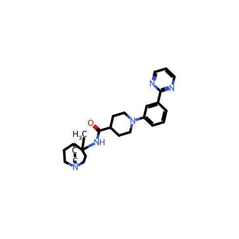 CC1(NC(=O)C2CCN(c3cccc(-c4ncccn4)c3)CC2)CCN2CCC1CC2